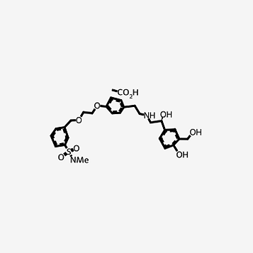 CC(=O)O.CNS(=O)(=O)c1cccc(COCCOc2ccc(CCNC[C@H](O)c3ccc(O)c(CO)c3)cc2)c1